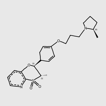 C[C@@H]1CCCN1CCCOC1=CCC([C@@H]2Oc3cccnc3S(=O)(=O)[C@H]2C)C=C1